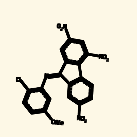 COc1ccc(Cl)c(N=C2c3cc([N+](=O)[O-])ccc3-c3c2cc([N+](=O)[O-])cc3[N+](=O)[O-])c1